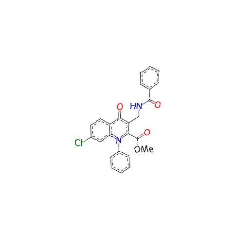 COC(=O)c1c(CNC(=O)c2ccccc2)c(=O)c2ccc(Cl)cc2n1-c1ccccc1